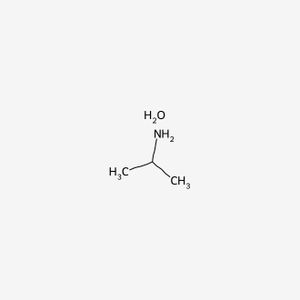 CC(C)N.O